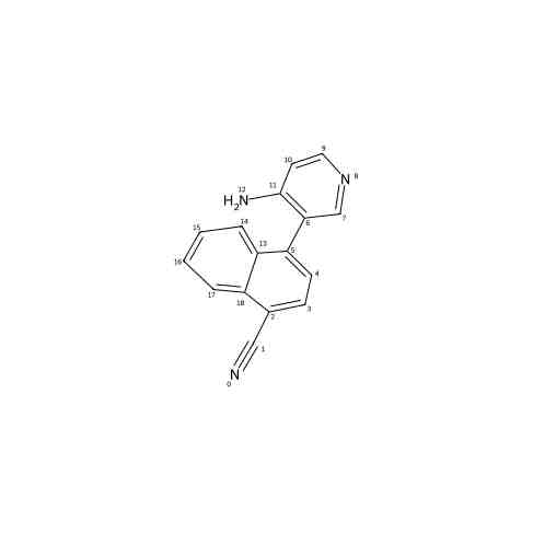 N#Cc1ccc(-c2cnccc2N)c2ccccc12